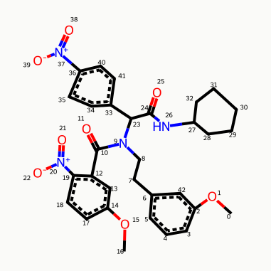 COc1cccc(CCN(C(=O)c2cc(OC)ccc2[N+](=O)[O-])C(C(=O)NC2CCCCC2)c2ccc([N+](=O)[O-])cc2)c1